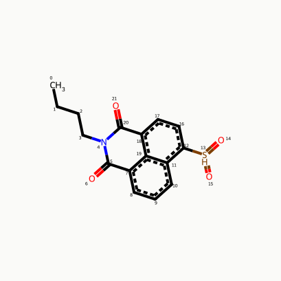 CCCCN1C(=O)c2cccc3c([SH](=O)=O)ccc(c23)C1=O